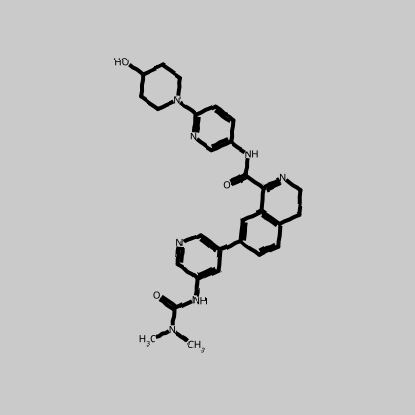 CN(C)C(=O)Nc1cncc(-c2ccc3c(c2)C(C(=O)Nc2ccc(N4CCC(O)CC4)nc2)=NCC3)c1